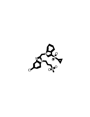 CS(=O)(=O)CCCn1c(Cn2cc(S(=O)(=O)C3CC3)c3ccccc32)nc2cc(Cl)ccc21